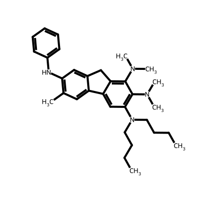 CCCCN(CCCC)c1cc2c(c(N(C)C)c1N(C)C)Cc1cc(Nc3ccccc3)c(C)cc1-2